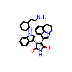 NCCC1CCCCC1.O=C1NC(=O)[C@H](c2cn3c4c(cccc24)CCC3)[C@H]1c1c[nH]c2ccccc12